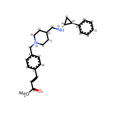 COC(=O)/C=C/c1ccc(CN2CCC(CN[C@@H]3C[C@H]3c3ccccc3)CC2)cc1